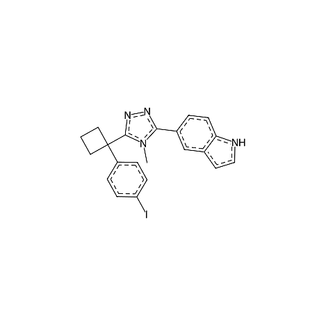 Cn1c(-c2ccc3[nH]ccc3c2)nnc1C1(c2ccc(I)cc2)CCC1